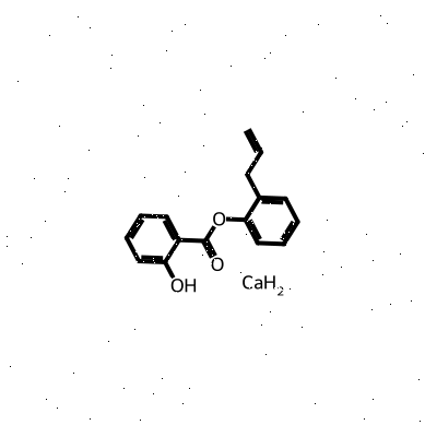 C=CCc1ccccc1OC(=O)c1ccccc1O.[CaH2]